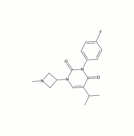 CC(C)c1cn(C2CN(C)C2)c(=O)n(-c2ccc(F)cc2)c1=O